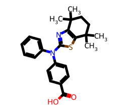 CC1(C)CCC(C)(C)c2sc(N(c3ccccc3)c3ccc(C(=O)O)cc3)nc21